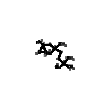 CCCC1(CC(C)(CCC(C)(C)C(C)(C)C)C(C)(C)C)OO1